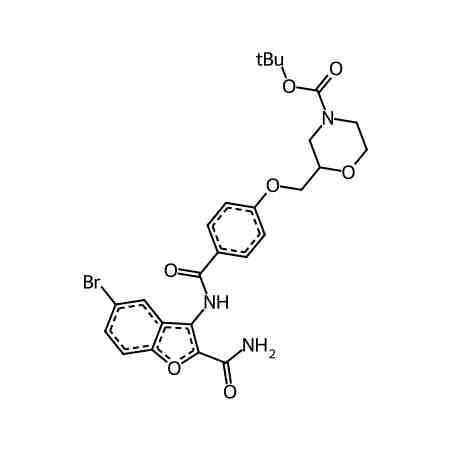 CC(C)(C)OC(=O)N1CCOC(COc2ccc(C(=O)Nc3c(C(N)=O)oc4ccc(Br)cc34)cc2)C1